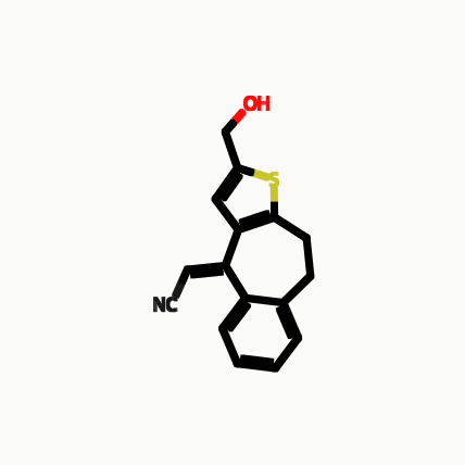 N#C/C=C1\c2ccccc2CCc2sc(CO)cc21